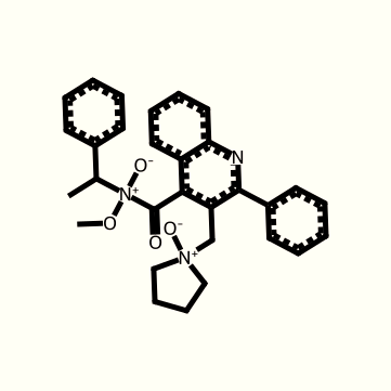 CO[N+]([O-])(C(=O)c1c(C[N+]2([O-])CCCC2)c(-c2ccccc2)nc2ccccc12)C(C)c1ccccc1